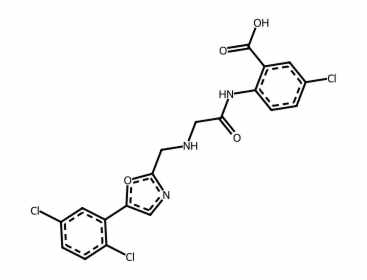 O=C(CNCc1ncc(-c2cc(Cl)ccc2Cl)o1)Nc1ccc(Cl)cc1C(=O)O